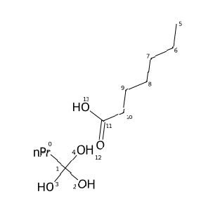 CCCC(O)(O)O.CCCCCCC(=O)O